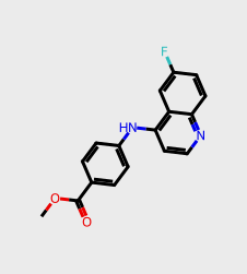 COC(=O)c1ccc(Nc2ccnc3ccc(F)cc23)cc1